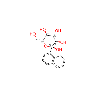 OC[C@H]1O[C@@](O)(c2cccc3ccccc23)[C@H](O)[C@@H](O)[C@@H]1O